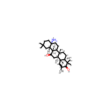 CC1(C)CC[C@]2(N)CC[C@]3(C)[C@H](C(=O)C[C@@H]4[C@@]5(C)C=C(C#N)C(=O)C(C)(C)[C@@H]5CC[C@]43C)[C@@H]2C1